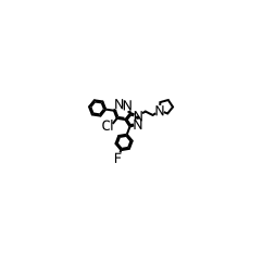 Fc1ccc(-c2nn(CCN3CCCC3)c3nnc(-c4ccccc4)c(Cl)c23)cc1